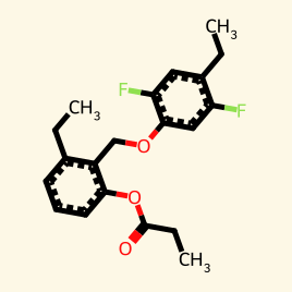 CCC(=O)Oc1cccc(CC)c1COc1cc(F)c(CC)cc1F